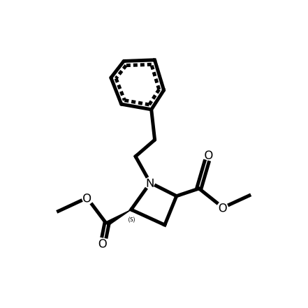 COC(=O)C1C[C@@H](C(=O)OC)N1CCc1ccccc1